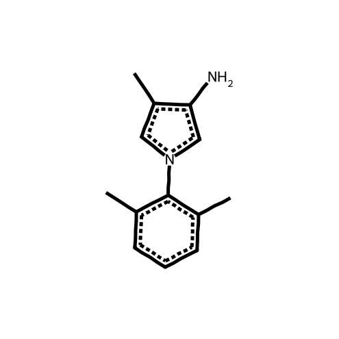 Cc1cn(-c2c(C)cccc2C)cc1N